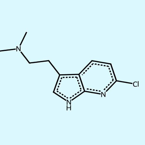 CN(C)CCc1c[nH]c2nc(Cl)ccc12